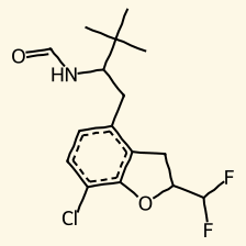 CC(C)(C)C(Cc1ccc(Cl)c2c1CC(C(F)F)O2)NC=O